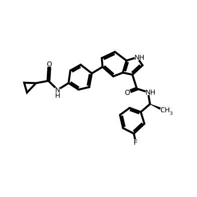 C[C@H](NC(=O)c1c[nH]c2ccc(-c3ccc(NC(=O)C4CC4)cc3)cc12)c1cccc(F)c1